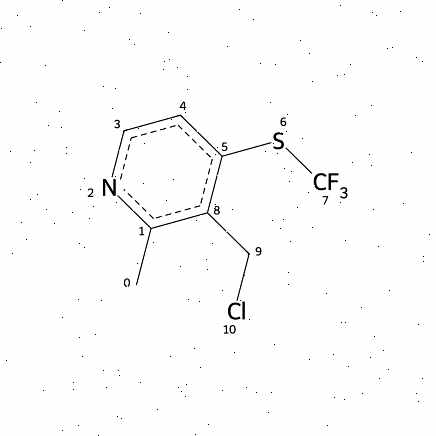 Cc1nccc(SC(F)(F)F)c1CCl